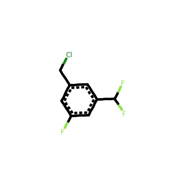 Fc1cc(CCl)cc(C(F)F)c1